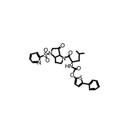 CC(C)CC(NC(=O)Oc1ccc(-c2ccccc2)s1)C(=O)N1CCC2C1C(=O)CN2S(=O)(=O)c1ccccn1